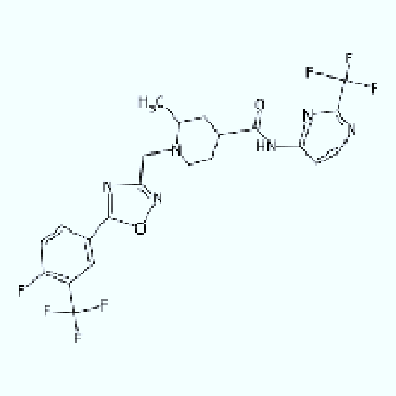 CC1CC(C(=O)Nc2ccnc(C(F)(F)F)n2)CCN1Cc1noc(-c2ccc(F)c(C(F)(F)F)c2)n1